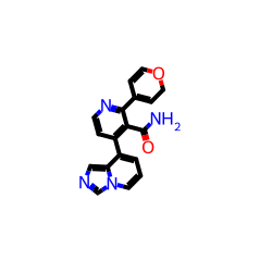 NC(=O)c1c(-c2cccn3cncc23)ccnc1C1=CCOC=C1